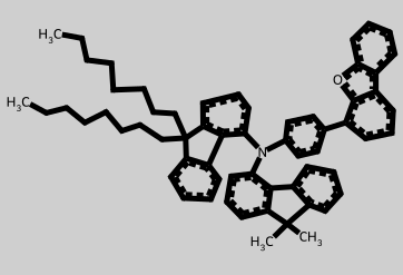 CCCCCCCCC1(CCCCCCCC)c2ccccc2-c2c(N(c3ccc(-c4cccc5c4oc4ccccc45)cc3)c3cccc4c3-c3ccccc3C4(C)C)cccc21